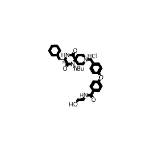 CCCCN1C(=O)[C@H](CC2CCCCC2)NC(=O)C12CCN(Cc1ccc(Oc3ccc(C(=O)NCCO)cc3)cc1)CC2.Cl